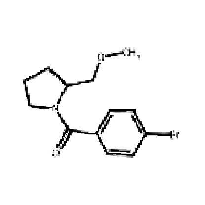 COCC1CCCN1C(=O)c1ccc(Br)cc1